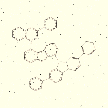 C1=CC(C2=CC3C(C=C2)c2ccc(-c4ccccc4)cc2N3c2cccc3c2oc2cccc(-c4nc(-c5ccccc5)nc5ccccc45)c23)=CCC1